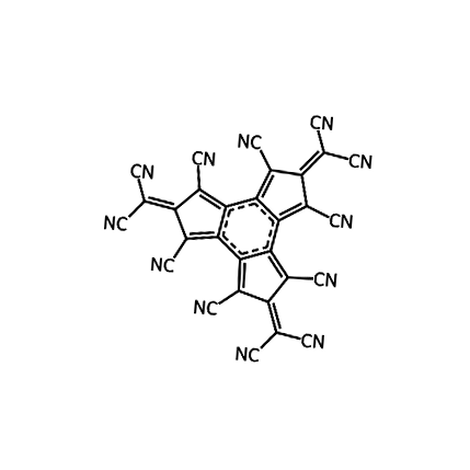 N#CC(C#N)=C1C(C#N)=c2c3c(c4c(c2=C1C#N)=C(C#N)C(=C(C#N)C#N)C=4C#N)=C(C#N)C(=C(C#N)C#N)C=3C#N